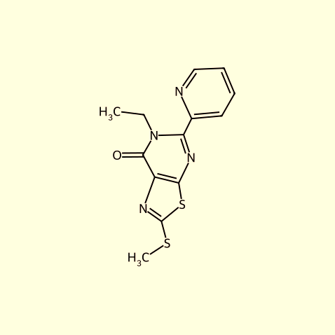 CCn1c(-c2ccccn2)nc2sc(SC)nc2c1=O